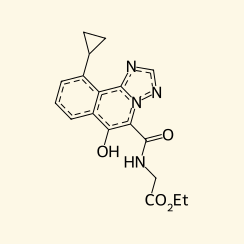 CCOC(=O)CNC(=O)c1c(O)c2cccc(C3CC3)c2c2ncnn12